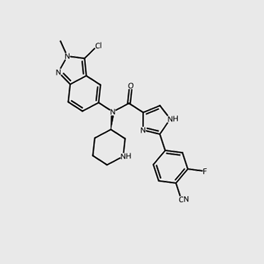 Cn1nc2ccc(N(C(=O)c3c[nH]c(-c4ccc(C#N)c(F)c4)n3)[C@@H]3CCCNC3)cc2c1Cl